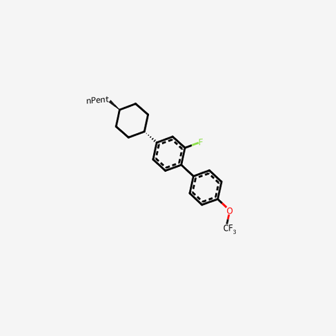 CCCCC[C@H]1CC[C@H](c2ccc(-c3ccc(OC(F)(F)F)cc3)c(F)c2)CC1